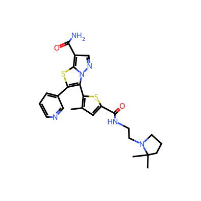 Cc1cc(C(=O)NCCN2CCCC2(C)C)sc1-c1c(-c2cccnc2)sc2c(C(N)=O)cnn12